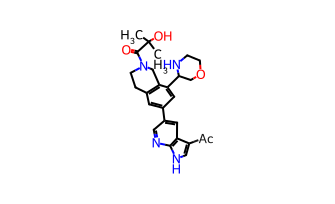 CC(=O)c1c[nH]c2ncc(-c3cc4c(c(C5COCCN5)c3)CN(C(=O)C(C)(C)O)CC4)cc12